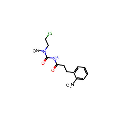 O=NN(CCCl)C(=O)NC(=O)CCc1ccccc1[N+](=O)[O-]